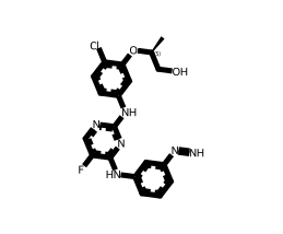 C[C@@H](CO)Oc1cc(Nc2ncc(F)c(Nc3cccc(N=N)c3)n2)ccc1Cl